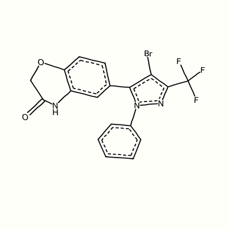 O=C1COc2ccc(-c3c(Br)c(C(F)(F)F)nn3-c3ccccc3)cc2N1